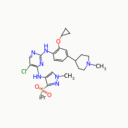 CC(C)S(=O)(=O)c1nn(C)cc1Nc1nc(Nc2ccc(C3CCN(C)CC3)cc2OC2CC2)ncc1Cl